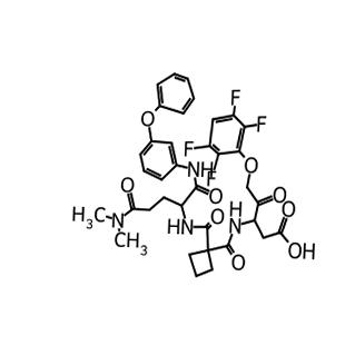 CN(C)C(=O)CCC(NC(=O)C1(C(=O)NC(CC(=O)O)C(=O)COc2c(F)c(F)cc(F)c2F)CCC1)C(=O)Nc1cccc(Oc2ccccc2)c1